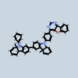 CC12C=CC=CC1N(c1ccc(-c3ncnc4c3oc3ccccc34)cc1)c1ccc(-c3ccc4c(c3)N(c3ccccc3)C3(C)C=CC=CC43)cc12